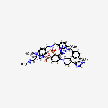 COc1ccc(CN(Cc2ccc(OC)cc2)S(=O)(=O)c2c(S(=O)(=O)NC[C@H](CNC(=O)O)NC(=O)O)ccc(N3CCC(c4c[nH]cn4)CC3)c2-c2nnn(Cc3ccc(OC)cc3)n2)cc1